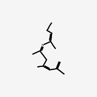 C=C(C)/C=C(/C)C/C(C)=N\C(C)=C/CC